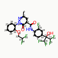 Cc1cc(C(=O)Nc2ccc(C(O)(C(F)F)C(F)F)cc2F)c(=O)n(-c2ccccc2OCC(F)F)n1